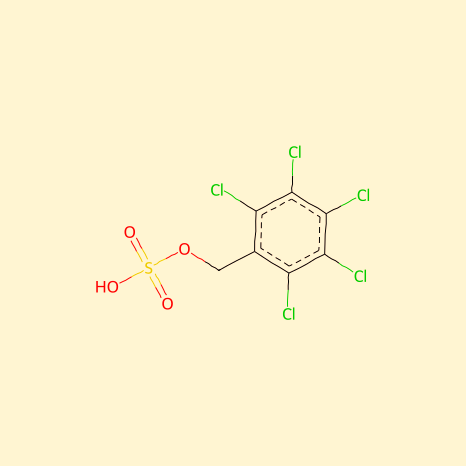 O=S(=O)(O)OCc1c(Cl)c(Cl)c(Cl)c(Cl)c1Cl